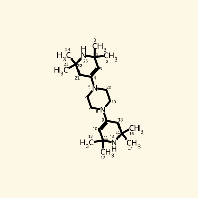 CC1(C)C=C(N2CCN(C3=CC(C)(C)NC(C)(C)C3)CC2)CC(C)(C)N1